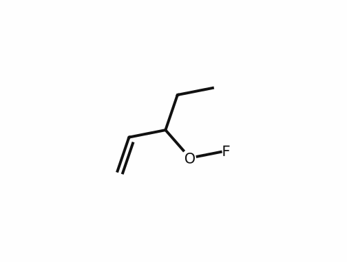 C=CC(CC)OF